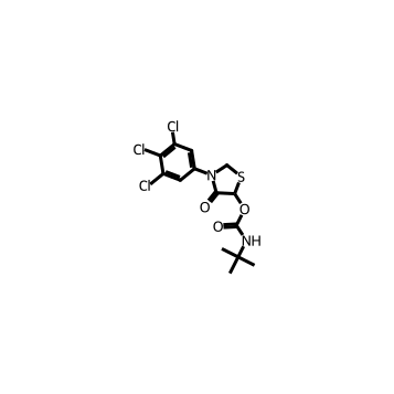 CC(C)(C)NC(=O)OC1SCN(c2cc(Cl)c(Cl)c(Cl)c2)C1=O